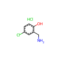 Cl.NCc1cc(Cl)ccc1O